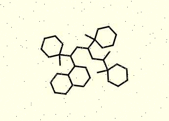 CC(CC(CC(C1CCCC2CCCCC21)C1(C)CCCCC1)C1(C)CCCCC1)C1(C)CCCCC1